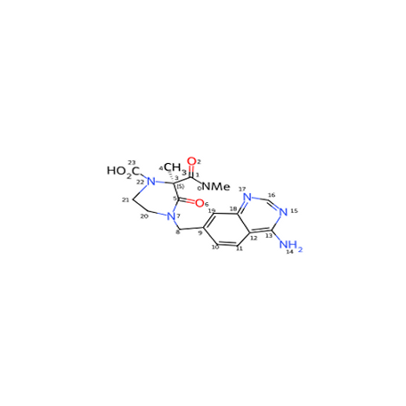 CNC(=O)[C@@]1(C)C(=O)N(Cc2ccc3c(N)ncnc3c2)CCN1C(=O)O